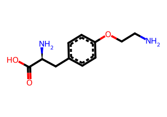 NCCOc1ccc(C[C@H](N)C(=O)O)cc1